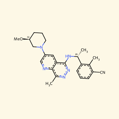 CO[C@H]1CCCN(c2cnc3c(C)nnc(N[C@H](C)c4cccc(C#N)c4C)c3c2)C1